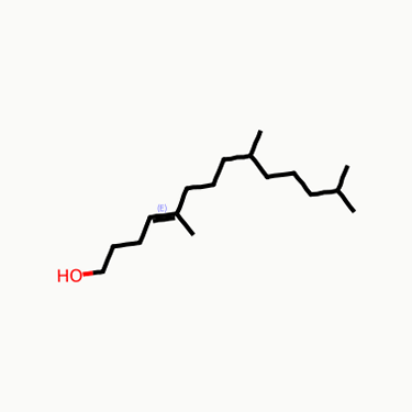 C/C(=C\CCCO)CCCC(C)CCCC(C)C